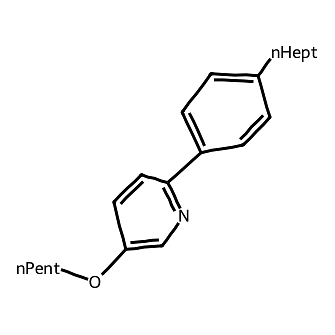 CCCCCCCc1ccc(-c2ccc(OCCCCC)cn2)cc1